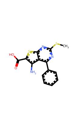 CSc1nc(-c2ccccc2)c2c(N)c(C(=O)O)sc2n1